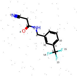 N#CCC(=O)NCc1cccc(C(F)(F)F)c1